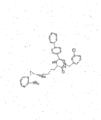 CC(C)(C)c1ccccc1[C@@H]1C[C@H]1NCCCCC(NC(=O)c1ccc(-c2ccccc2)cc1)C(=O)NCc1cccc(Cl)c1